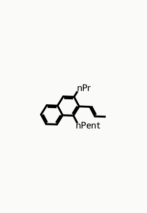 CC=Cc1c(CCC)cc2ccccc2c1CCCCC